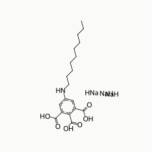 CCCCCCCCCCNc1cc(C(=O)O)c(C(=O)O)c(C(=O)O)c1.[NaH].[NaH].[NaH]